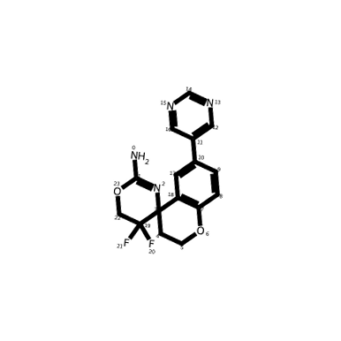 NC1=NC2(CCOc3ccc(-c4cncnc4)cc32)C(F)(F)CO1